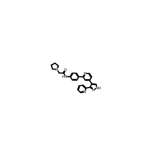 O=C(CN1CCCC1)Nc1ccc(-c2cc(-c3c[nH]nc3-c3ccccn3)ccn2)cc1